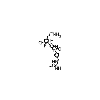 CCOC(=N)CNCc1ccc(-n2cc3cc(-c4cc(CCC[C@H](C)N)cc(Cl)c4F)[nH]c3nc2=O)cc1